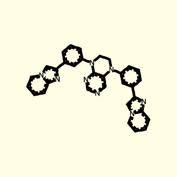 c1cc(-c2cn3ccccc3n2)cc(N2CCN(c3cccc(-c4cn5ccccc5n4)c3)c3ncncc32)c1